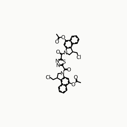 CC(=O)Oc1cc2c(c3ccccc13)C(CCl)CN2C(=O)c1nnc(C(=O)N2CC(CCl)c3c2cc(OC(C)=O)c2ccccc32)s1